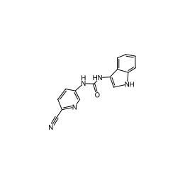 N#Cc1ccc(NC(=O)Nc2c[nH]c3ccccc23)cn1